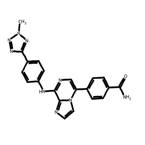 Cn1nnc(-c2ccc(Nc3ncc(-c4ccc(C(N)=O)cc4)n4ccnc34)cc2)n1